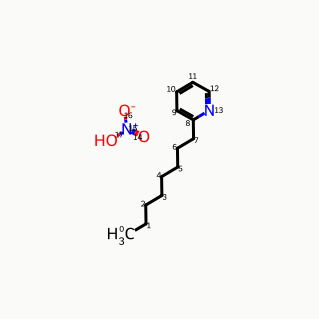 CCCCCCCCc1ccccn1.O=[N+]([O-])O